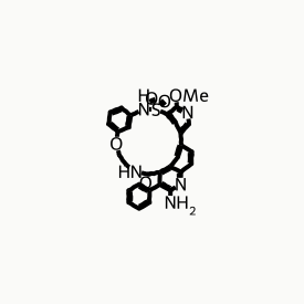 COc1ncc2cc1S(=O)(=O)Nc1cccc(c1)OCCNC(=O)c1c(-c3ccccc3)c(N)nc3ccc-2cc13